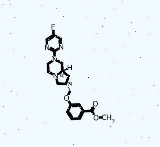 COC(=O)c1cccc(OC[C@H]2C[C@H]3CN(c4ncc(F)cn4)CCN3C2)c1